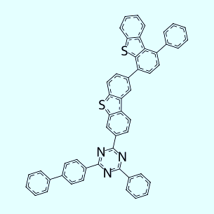 c1ccc(-c2ccc(-c3nc(-c4ccccc4)nc(-c4ccc5c(c4)sc4ccc(-c6ccc(-c7ccccc7)c7c6sc6ccccc67)cc45)n3)cc2)cc1